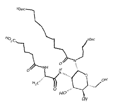 CCCCCCCCCCCCCCCCCC(=O)N(CCCCCCCCCCCC)[C@@H]1O[C@H](CO)[C@@H](O)[C@H](O)[C@@H]1NC(=O)[C@H](C)NC(=O)CCCC(=O)O